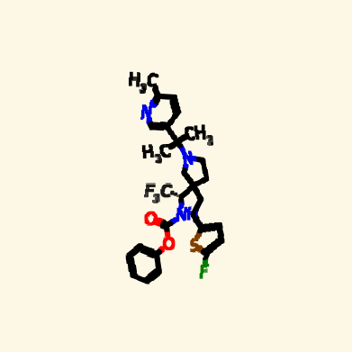 Cc1ccc(C(C)(C)N2CCC(CCc3ccc(F)s3)([C@H](NC(=O)Oc3ccccc3)C(F)(F)F)C2)cn1